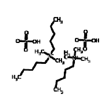 CCCCC[N+](C)(C)C.CCCCC[N+](C)(C)CCCCC.O=S(=O)([O-])O.O=S(=O)([O-])O